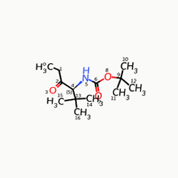 CCC(=O)[C@@H](NC(=O)OC(C)(C)C)C(C)(C)C